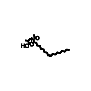 CCCCCCCC/C=C\CCCCCCCCN(CC(C)C(=O)O)C(C)=O